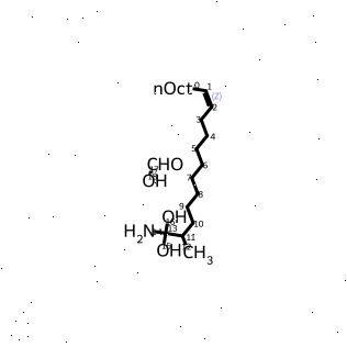 CCCCCCCC/C=C\CCCCCCCCC(C)C(N)(O)O.O=CO